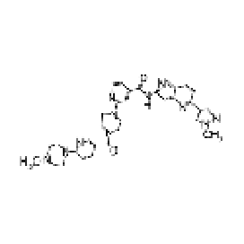 CN1CCN(c2ccc(C(=O)N3CCN(c4cc(C(=O)Nc5cc6nc(-c7cnn(C)c7)ccc6cn5)ccn4)CC3)cn2)CC1